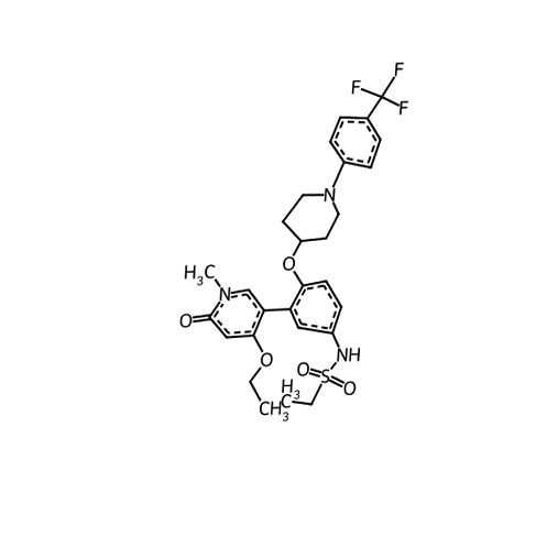 CCOc1cc(=O)n(C)cc1-c1cc(NS(=O)(=O)CC)ccc1OC1CCN(c2ccc(C(F)(F)F)cc2)CC1